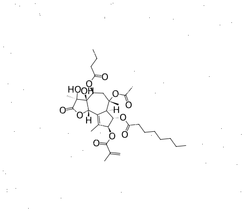 C=C(C)C(=O)O[C@H]1C(C)=C2[C@H]([C@@H]1OC(=O)CCCCCCC)[C@@](C)(OC(C)=O)C[C@H](OC(=O)CCC)[C@]1(O)[C@H]2OC(=O)[C@@]1(C)O